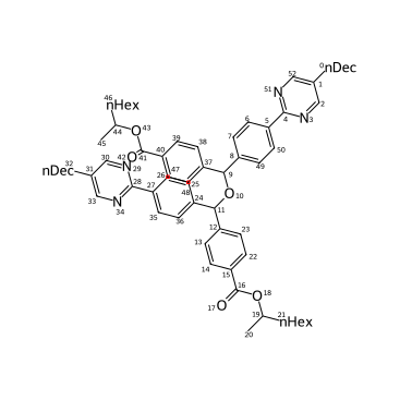 CCCCCCCCCCc1cnc(-c2ccc(C(OC(c3ccc(C(=O)OC(C)CCCCCC)cc3)c3ccc(-c4ncc(CCCCCCCCCC)cn4)cc3)c3ccc(C(=O)OC(C)CCCCCC)cc3)cc2)nc1